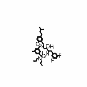 CCCN(CCC)C(=O)c1cc(C)cc(C(=O)N(Cc2cccc(CCC(C)C)c2)C[C@@H](O)[C@@H](N)Cc2cc(F)cc(F)c2)c1